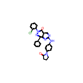 O=C1CCCN1c1ccc(Nc2ncc3c(=O)n(-c4ccccc4Cl)nc(-c4ccccc4)c3n2)cc1